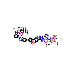 COC(=O)N[C@H](C(=O)N1CCC[C@H]1c1ncc(-c2ccc3c(c2)COc2cc(-c4ccc5nc([C@H]6C7CC[C@@H](C7)N6C(=O)OC(C)(C)C)[nH]c5c4)ccc2-3)[nH]1)C(C)C